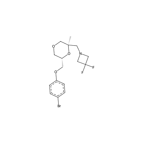 C[C@@]1(CN2CC(F)(F)C2)COC[C@@H](COc2ccc(Br)cc2)O1